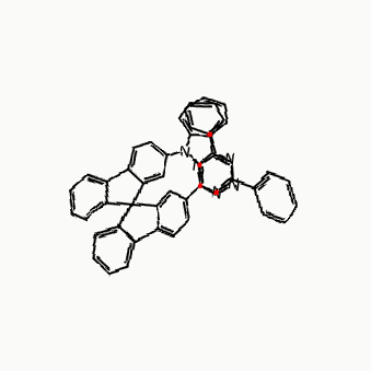 c1ccc(-c2nc(-c3ccccc3)nc(-c3ccc4c(c3)C3(c5ccccc5-4)c4ccccc4-c4ccc(-n5c6ccccc6c6cnccc65)cc43)n2)cc1